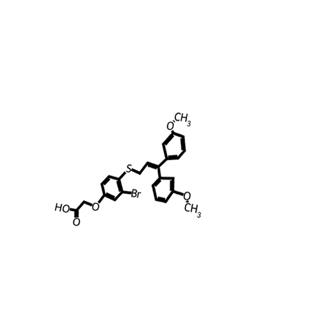 COc1cccc(C(=CCSc2ccc(OCC(=O)O)cc2Br)c2cccc(OC)c2)c1